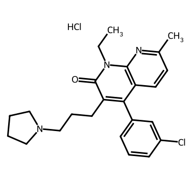 CCn1c(=O)c(CCCN2CCCC2)c(-c2cccc(Cl)c2)c2ccc(C)nc21.Cl